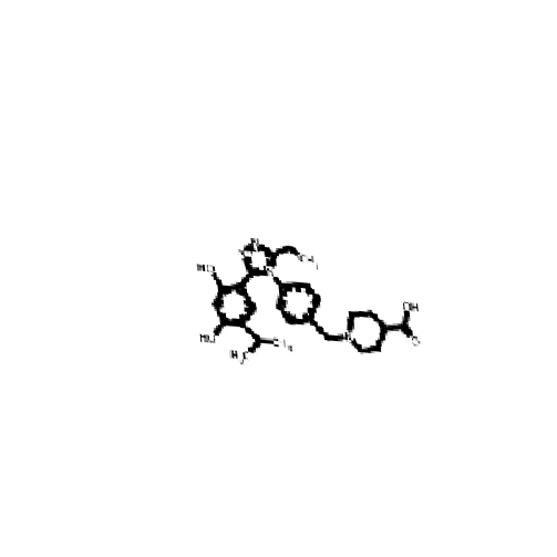 CCc1nnc(-c2cc(C(C)C)c(O)cc2O)n1-c1ccc(CN2CCC(C(=O)O)CC2)cc1